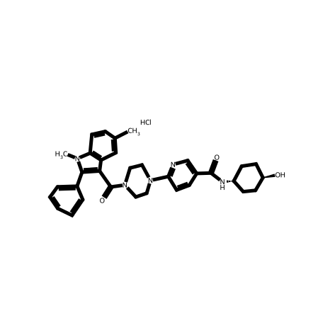 Cc1ccc2c(c1)c(C(=O)N1CCN(c3ccc(C(=O)N[C@H]4CC[C@H](O)CC4)cn3)CC1)c(-c1ccccc1)n2C.Cl